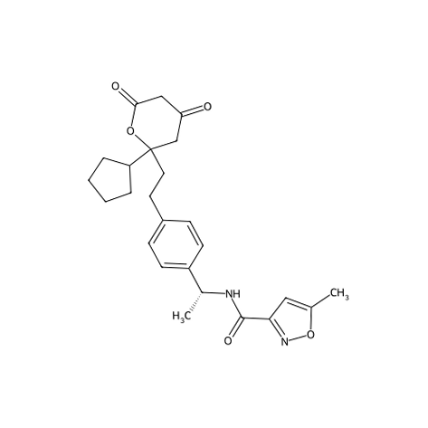 Cc1cc(C(=O)N[C@H](C)c2ccc(CCC3(C4CCCC4)CC(=O)CC(=O)O3)cc2)no1